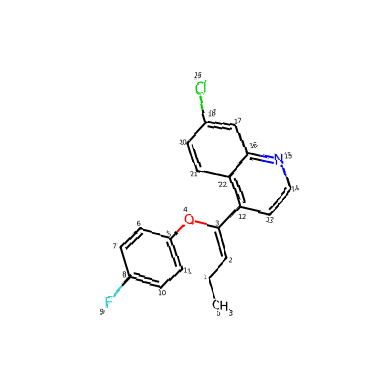 CCC=C(Oc1ccc(F)cc1)c1ccnc2cc(Cl)ccc12